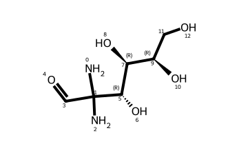 NC(N)(C=O)[C@@H](O)[C@@H](O)[C@H](O)CO